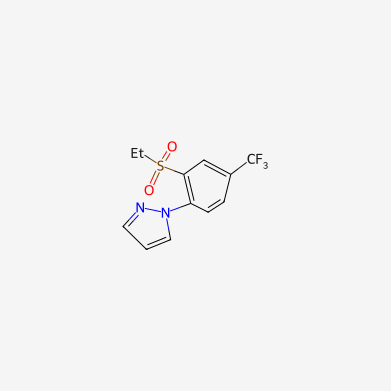 CCS(=O)(=O)c1cc(C(F)(F)F)ccc1-n1cccn1